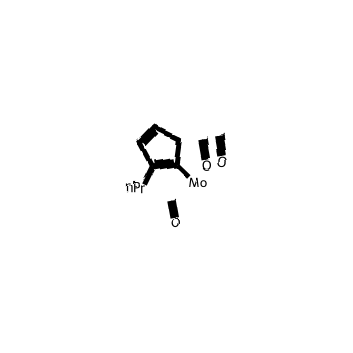 CCCC1=[C]([Mo])CC=C1.[C]=O.[C]=O.[C]=O